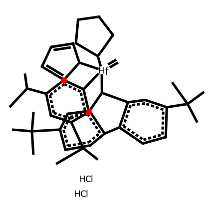 Cl.Cl.[CH2]=[Hf]([c]1cc(C(C)C)cc(C(C)C)c1)([CH]1C=CC=C1)([CH]1CCCC1)[CH]1c2cc(C(C)(C)C)ccc2-c2ccc(C(C)(C)C)cc21